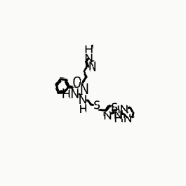 O=C(NC(=NCCCc1c[nH]cn1)NCCSCc1csc(N=C2NCCCN2)n1)c1ccccc1